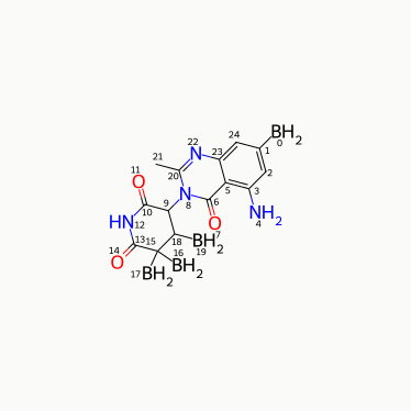 Bc1cc(N)c2c(=O)n(C3C(=O)NC(=O)C(B)(B)C3B)c(C)nc2c1